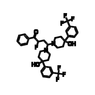 O=C(c1ccccc1)C(F)CC(N1CCC(O)(c2cccc(C(F)(F)F)c2)CC1)N1CCC(O)(c2cccc(C(F)(F)F)c2)CC1